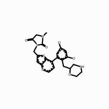 CN1CC(=O)N(Cc2cc3nccc(-c4cc(Cl)cc(Cl)c4CC4CNCCO4)c3s2)C1=O